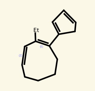 CCC1=C(\C2=CC=CC2)CCCC/C=C\1